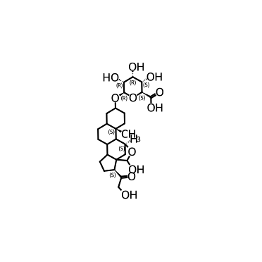 C[C@]12CCC(O[C@@H]3O[C@H](C(=O)O)[C@@H](O)[C@@H](O)[C@H]3O)CC1CCC1C3CC[C@H](C(=O)CO)C34C[C@H](OC4O)C12